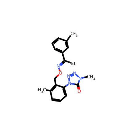 CCC(=NOCc1c(C)cccc1-n1nnn(C)c1=O)c1cccc(C(F)(F)F)c1